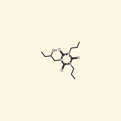 CCCn1c(=O)n(CCC)c(=O)n(CC(O)CC)c1=O